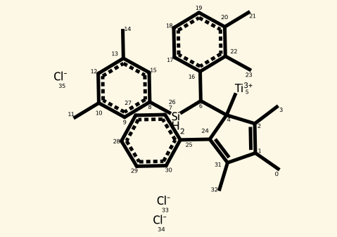 CC1=C(C)[C]([Ti+3])(C([SiH2]c2cc(C)cc(C)c2)c2cccc(C)c2C)C(c2ccccc2)=C1C.[Cl-].[Cl-].[Cl-]